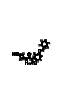 Cc1oc2ccc(OCc3ccccc3)cc2c1C(=O)NC1CC(O)C1